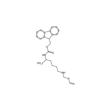 C=COCNCCCCC(NC(=O)OCC1c2ccccc2-c2ccccc21)C(=O)O